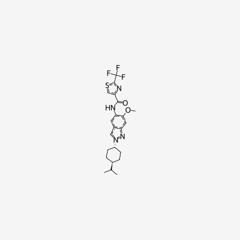 COc1cc2nn([C@H]3CC[C@H](C(C)C)CC3)cc2cc1NC(=O)c1csc(C(F)(F)F)n1